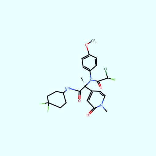 Cn1ccc([C@@](C)(C(=O)NC2CCC(F)(F)CC2)N(C(=O)[C@H](F)Cl)c2ccc(OC(F)(F)F)cc2)cc1=O